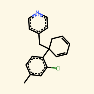 Cc1ccc(C2(Cc3ccncc3)C=CC=CC2)c(Cl)c1